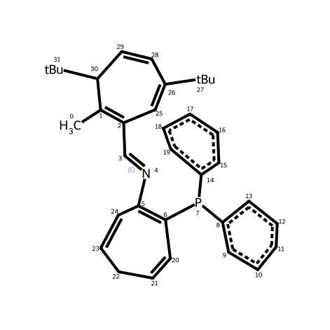 CC1=C(/C=N/C2=C(P(c3ccccc3)c3ccccc3)C=CCC=C2)C=C(C(C)(C)C)C=CC1C(C)(C)C